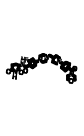 O=C1CCC(NC(=O)c2ccc(N3CCN(CC4CCN(c5ccc(C(=O)N6CCOCC6)cc5)CC4)CC3)cc2F)C(=O)N1